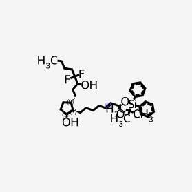 CCCCC(F)(F)C(O)CC[C@H]1CC[C@H](O)[C@@H]1CCCC/C=C/C(=O)O[Si](c1ccccc1)(c1ccccc1)C(C)(C)C